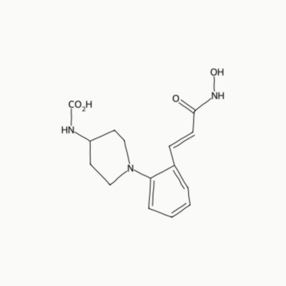 O=C(O)NC1CCN(c2ccccc2C=CC(=O)NO)CC1